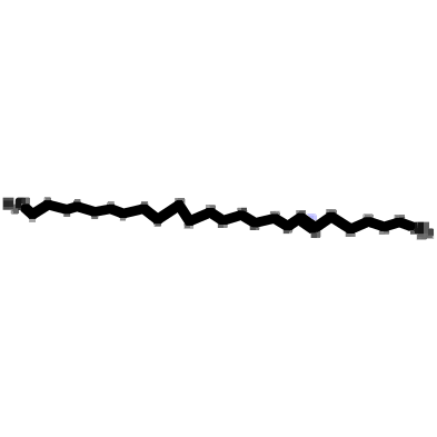 CCCCCCCCCCCCCCCCCC/C=C/CCCCCN